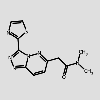 CN(C)C(=O)Cc1ccc2nnc(-c3nccs3)n2n1